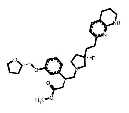 COC(=O)C[C@H](CN1CC[C@@](F)(CCc2ccc3c(n2)NCCC3)C1)c1cccc(OC[C@@H]2CCCO2)c1